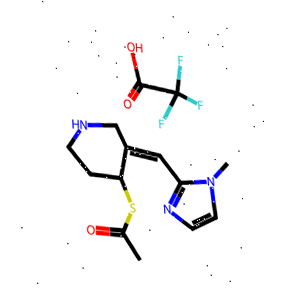 CC(=O)SC1CCNCC1=Cc1nccn1C.O=C(O)C(F)(F)F